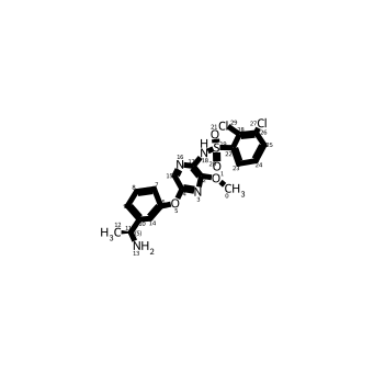 COc1nc(Oc2cccc([C@H](C)N)c2)cnc1NS(=O)(=O)c1cccc(Cl)c1Cl